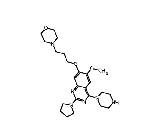 COc1cc2c(N3CCNCC3)nc(N3CCCC3)nc2cc1OCCCN1CCOCC1